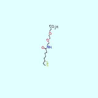 O=C(O)CCOCCOCCNC(=O)CCCCC1CCSS1